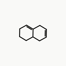 C1=CCC2CCCC=C2C1